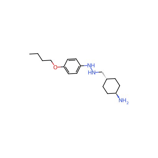 CCCCOc1ccc(NNC[C@H]2CC[C@H](N)CC2)cc1